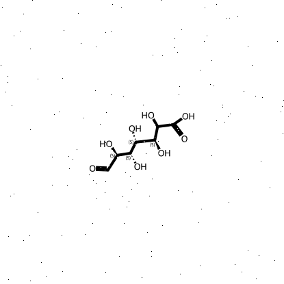 O=C[C@@H](O)[C@@H](O)[C@H](O)[C@H](O)C(O)C(=O)O